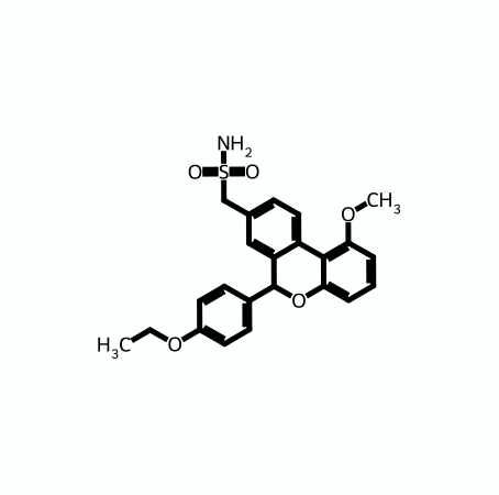 CCOc1ccc(C2Oc3cccc(OC)c3-c3ccc(CS(N)(=O)=O)cc32)cc1